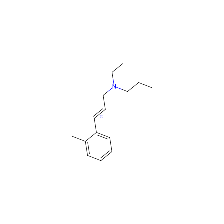 CCCN(CC)C/C=C/c1ccccc1C